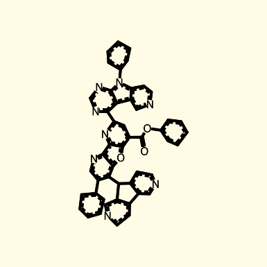 O=C(Oc1ccccc1)c1cc(-c2ncnc3c2c2cnccc2n3-c2ccccc2)nc2c1oc1c(C3c4ccncc4-c4ccncc43)c(-c3ccccc3)cnc12